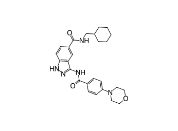 O=C(NCC1CCCCC1)c1ccc2[nH]nc(NC(=O)c3ccc(N4CCOCC4)cc3)c2c1